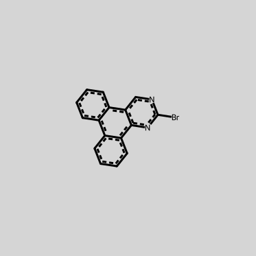 Brc1ncc2c3ccccc3c3ccccc3c2n1